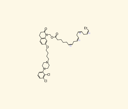 CC/C=C\C/C=C\C/C=C\C/C=C\CCCCC(=O)OCN1C(=O)CCc2ccc(OCCCCN3CCN(c4cccc(Cl)c4Cl)CC3)cc21